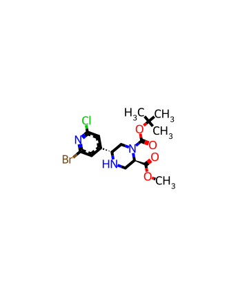 COC(=O)[C@H]1CN[C@H](c2cc(Cl)nc(Br)c2)CN1C(=O)OC(C)(C)C